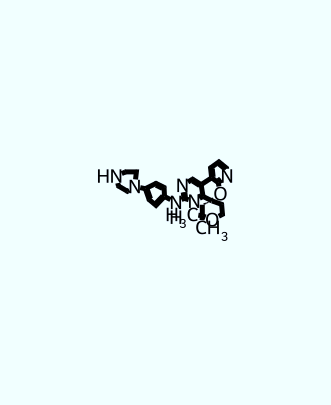 CC1(C)C[C@@]2(CCO1)Oc1ncccc1-c1cnc(Nc3ccc(N4CCNCC4)cc3)nc12